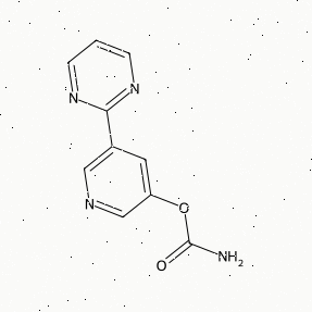 NC(=O)Oc1cncc(-c2ncccn2)c1